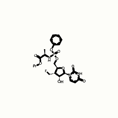 CC(C)OC(=O)[C@@H](C)NP(=O)(OC[C@H]1O[C@@H](n2ccc(=O)[nH]c2=O)[C@H](O)[C@@H]1CF)Oc1ccccc1